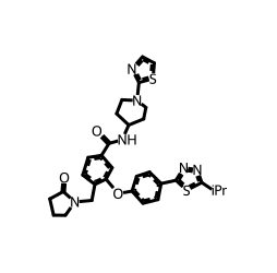 CC(C)c1nnc(-c2ccc(Oc3cc(C(=O)NC4CCN(c5nccs5)CC4)ccc3CN3CCCC3=O)cc2)s1